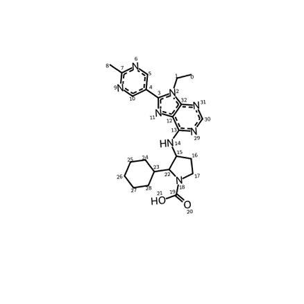 CCn1c(-c2cnc(C)nc2)nc2c(NC3CCN(C(=O)O)C3C3CCCCC3)ncnc21